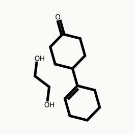 O=C1CCC(C2=CCCCC2)CC1.OCCO